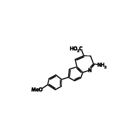 COc1ccc(-c2ccc3c(c2)C=C(C(=O)O)CC(N)=N3)cc1